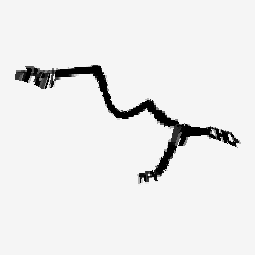 CCCCCCCCN([C]=O)CCC